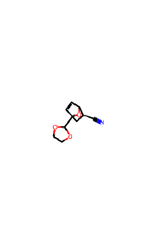 N#C[C@H]1CC2(C3OCCO3)C=CC1O2